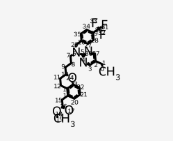 CCc1cnc(N(CCCC2CCc3c(CC(=O)OC)cccc3O2)Cc2ccc(C(F)(F)F)cc2)nc1